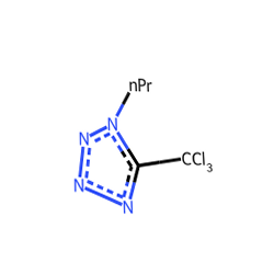 CCCn1nnnc1C(Cl)(Cl)Cl